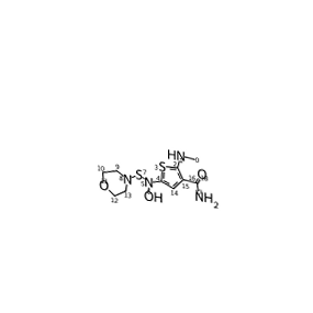 CNc1sc(N(O)SN2CCOCC2)cc1C(N)=O